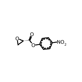 O=C(Oc1ccc([N+](=O)[O-])cc1)[C@@H]1CO1